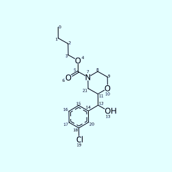 CCCCOC(=O)N1CCOC(C(O)c2cccc(Cl)c2)C1